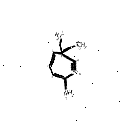 CC1(C)C=CC=C(N)N=C1